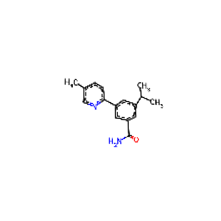 Cc1ccc(-c2cc(C(N)=O)cc(C(C)C)c2)nc1